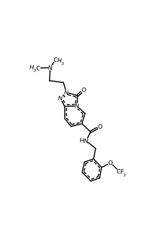 CN(C)CCn1nc2ccc(C(=O)NCc3ccccc3OC(F)(F)F)cn2c1=O